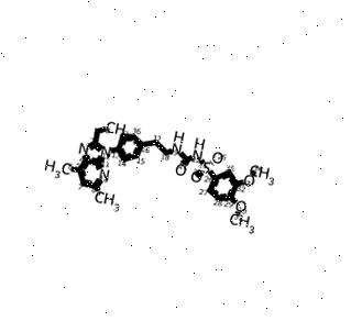 CCc1nc2c(C)cc(C)nc2n1-c1ccc(CCNC(=O)NS(=O)(=O)c2ccc(OC)c(OC)c2)cc1